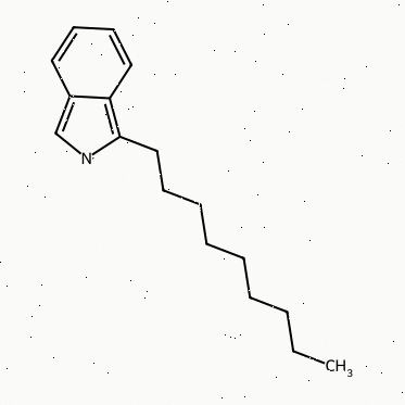 CCCCCCCCCC1=c2ccccc2=C[N]1